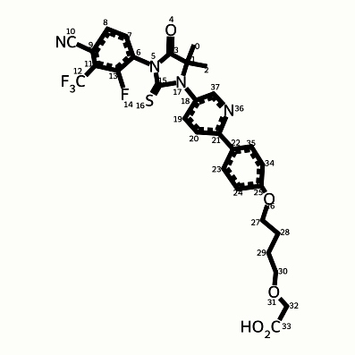 CC1(C)C(=O)N(c2ccc(C#N)c(C(F)(F)F)c2F)C(=S)N1c1ccc(-c2ccc(OCCCCOCC(=O)O)cc2)nc1